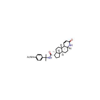 CC(=O)Nc1ccc(C(C)(C)NC(=O)[C@H]2CC[C@H]3[C@@H]4CC[C@H]5NC(=O)C=C[C@]5(C)[C@H]4CC[C@]23C)cc1